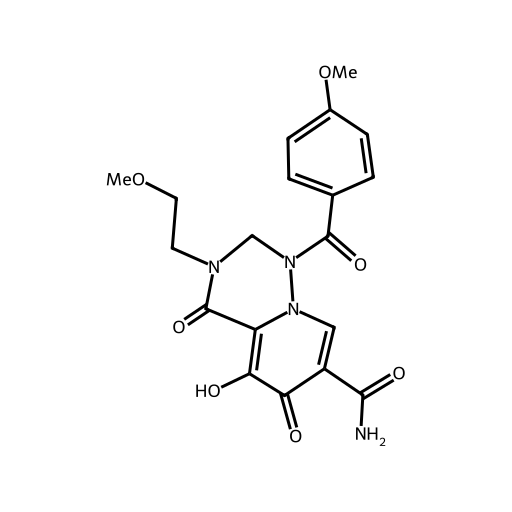 COCCN1CN(C(=O)c2ccc(OC)cc2)n2cc(C(N)=O)c(=O)c(O)c2C1=O